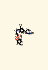 Cc1ccc(S(=O)(=O)C#C/C=C\c2ccc(C3CCN(C)CC3)cc2C)cc1